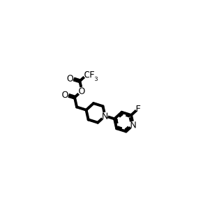 O=C(CC1CCN(c2ccnc(F)c2)CC1)OC(=O)C(F)(F)F